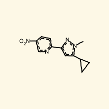 Cn1nc(-c2ccc([N+](=O)[O-])cn2)cc1C1CC1